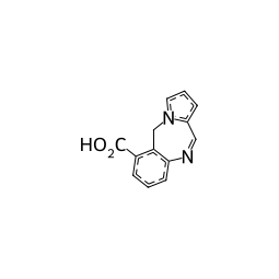 O=C(O)c1cccc2c1Cn1cccc1C=N2